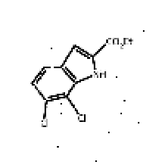 CCOC(=O)c1cc2ccc(Cl)c(Cl)c2[nH]1